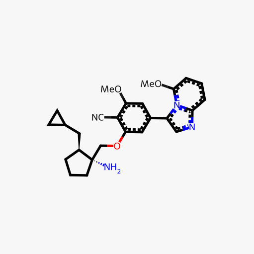 COc1cc(-c2cnc3cccc(OC)n23)cc(OC[C@@]2(N)CCC[C@H]2CC2CC2)c1C#N